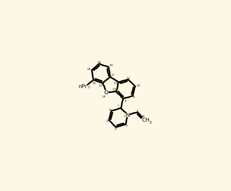 C=CN1C=CC=CC1c1cccc2c1oc1c(CCC)cccc12